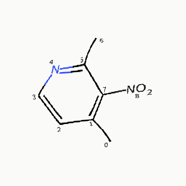 Cc1ccnc(C)c1[N+](=O)[O-]